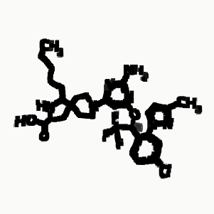 CCCCCC1NC(C(=O)O)CC12CCN(c1cc(O[C@H](c3ccc(Cl)cc3-n3ccc(C)n3)C(F)(F)F)nc(N)n1)CC2